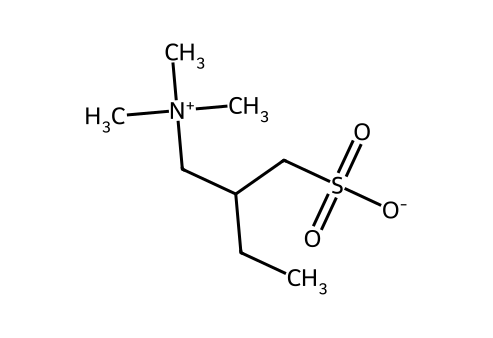 CCC(C[N+](C)(C)C)CS(=O)(=O)[O-]